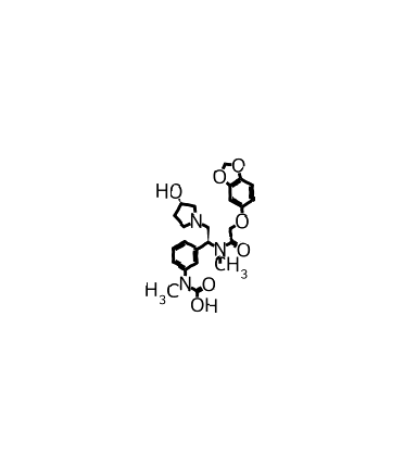 CN(C(=O)O)c1cccc([C@@H](CN2CC[C@H](O)C2)N(C)C(=O)COc2ccc3c(c2)OCO3)c1